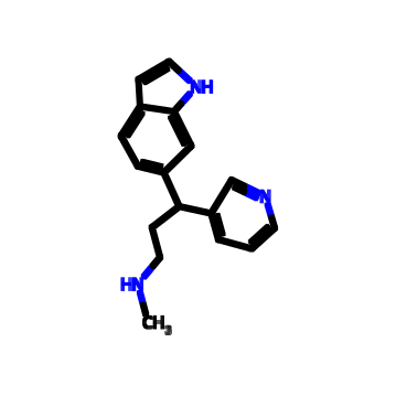 CNCCC(c1cccnc1)c1ccc2cc[nH]c2c1